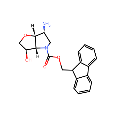 N[C@H]1CN(C(=O)OCC2c3ccccc3-c3ccccc32)[C@H]2[C@@H]1OC[C@@H]2O